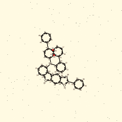 c1ccc(-c2ccc(N(c3ccccc3-c3ccccc3)c3cccc4oc5cc6oc(-c7ccccc7)nc6cc5c34)cc2)cc1